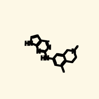 Cc1cc(Nc2n[c]c3cc[nH]c3n2)cc2c1CCN(C)C2